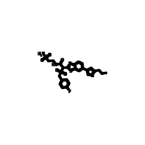 CCCn1cc(-c2ccc3nc(C(C(=O)NCCS(N)(=O)=O)S(=O)(=O)Cc4ccc(F)cc4)sc3c2)cn1